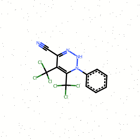 N#CC1=NNN(c2ccccc2)C(C(Cl)(Cl)Cl)=C1C(Cl)(Cl)Cl